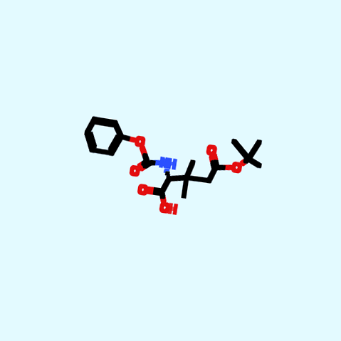 CC(C)(C)OC(=O)CC(C)(C)[C@@H](NC(=O)Oc1ccccc1)C(=O)O